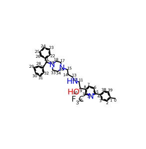 Cc1ccc(-c2ccc(C(O)CNCCCN3CCN(C(c4ccccc4)c4ccccc4)CC3)c(C(F)(F)F)n2)cc1